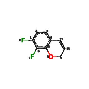 Fc1ccc2c(c1F)OCC=C2